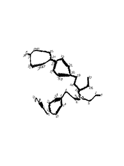 CC#N.CCCN(CCc1ccccc1)C(CC)CCc1ccc(C2CCC(F)CC2)cc1